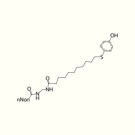 CCCCCCCCCC(=O)NCNC(=O)CCCCCCCCCCSc1ccc(O)cc1